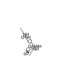 CCCCNC(=O)NCc1ccc(CN2C(=N)NC(CCCC)(C3CCCN(OC(C)(C)C)C3)C2=O)cc1